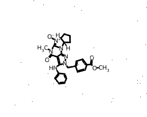 COC(=O)c1ccc(Cn2nc3c(c2Nc2ccccc2)C(=O)N(C)C2=[N+]([O-])[C@@H]4CCC[C@@H]4N23)cc1